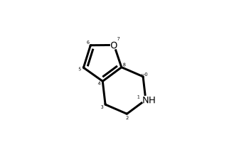 [C]1NCCc2ccoc21